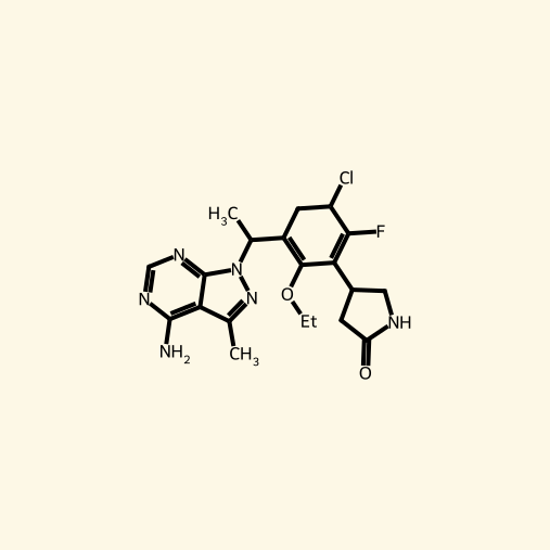 CCOC1=C(C(C)n2nc(C)c3c(N)ncnc32)CC(Cl)C(F)=C1C1CNC(=O)C1